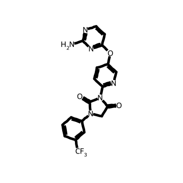 Nc1nccc(Oc2ccc(N3C(=O)CN(c4cccc(C(F)(F)F)c4)C3=O)nc2)n1